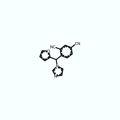 N#Cc1ccc(C(c2ccco2)n2ccnc2)c(C#N)c1